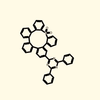 O=S1(=O)c2ccccc2-c2ccccc2-c2ccccc2-c2ccc(-c3nc(-c4ccccc4)nc(-c4ccccc4)n3)cc2-c2ccccc21